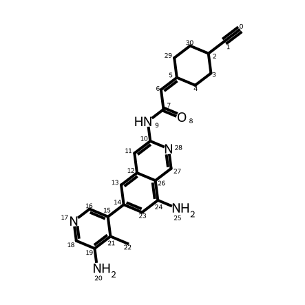 C#CC1CCC(=CC(=O)Nc2cc3cc(-c4cncc(N)c4C)cc(N)c3cn2)CC1